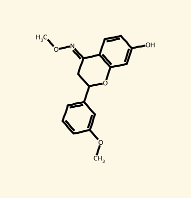 CON=C1CC(c2cccc(OC)c2)Oc2cc(O)ccc21